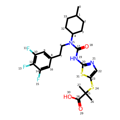 CC1CCC(N(CCc2cc(F)c(F)c(F)c2)C(=O)Nc2ncc(SC(C)(C)C(=O)O)s2)CC1